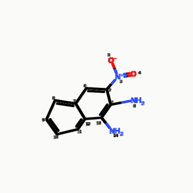 Nc1c([N+](=O)[O-])cc2ccccc2c1N